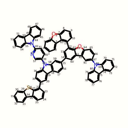 c1ccc2c(c1)oc1cccc(-c3cc(-c4ccc5c6cc(-c7cccc8c7sc7ccccc78)ccc6n(-c6ccc(-n7c8ccccc8c8ccccc87)nc6)c5c4)cc4c3oc3ccc(-n5c6ccccc6c6ccccc65)cc34)c12